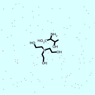 CC(O)C(N)C(=O)O.OCCN(CCO)CCO